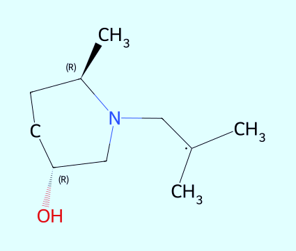 C[C](C)CN1C[C@H](O)CC[C@H]1C